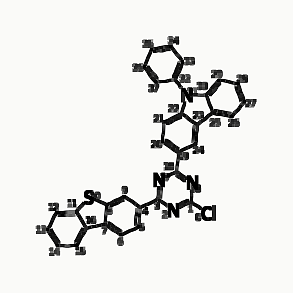 Clc1nc(-c2ccc3c(c2)sc2ccccc23)nc(-c2ccc3c(c2)c2ccccc2n3-c2ccccc2)n1